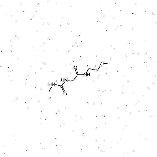 CNC(=O)NCC(=O)NCCOC